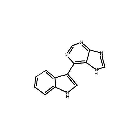 c1ccc2c(-c3ncnc4nc[nH]c34)c[nH]c2c1